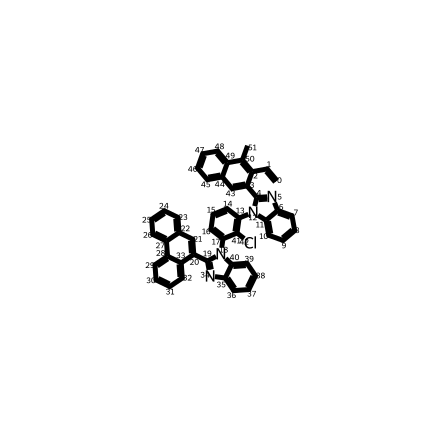 C=Cc1c(-c2nc3ccccc3n2-c2cccc(-n3c(-c4cc5ccccc5c5ccccc45)nc4ccccc43)c2Cl)cc2ccccc2c1C